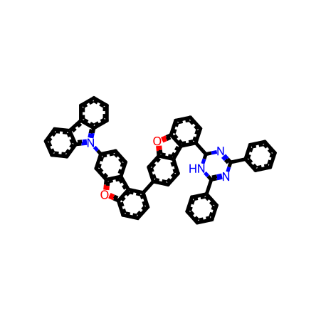 c1ccc(C2=NC(c3cccc4oc5cc(-c6cccc7oc8cc(-n9c%10ccccc%10c%10ccccc%109)ccc8c67)ccc5c34)NC(c3ccccc3)=N2)cc1